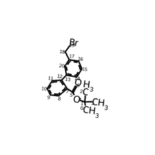 CC(C)(C)OC(=O)c1ccccc1-c1cccc(CBr)c1